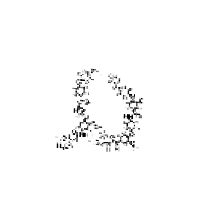 CCC(CC)NC(=O)Nc1ccc(Oc2cnc(NC(=O)c3ccc(OC4CCN(C)CC4)cc3)s2)c(OC)c1.CCCCN1CCC(Oc2ccc(C(=O)Nc3ccc(Oc4ccc(NC(=O)NC(CC)CC)cc4OC)cc3)cc2Cl)CC1